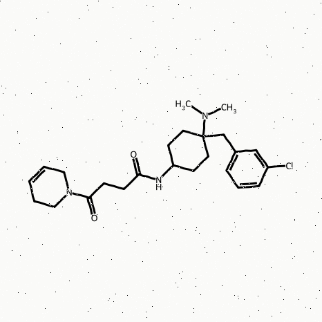 CN(C)C1(Cc2cccc(Cl)c2)CCC(NC(=O)CCC(=O)N2CC=CCC2)CC1